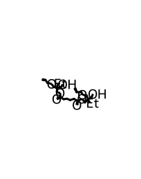 C=CCOCC(CC)(CO)COC(=O)CCCCC(=O)OCC(CC)(CO)COCC=C